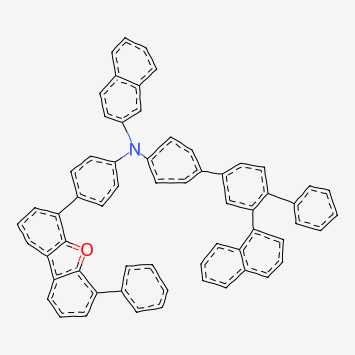 c1ccc(-c2ccc(-c3ccc(N(c4ccc(-c5cccc6c5oc5c(-c7ccccc7)cccc56)cc4)c4ccc5ccccc5c4)cc3)cc2-c2cccc3ccccc23)cc1